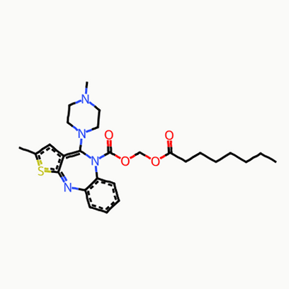 CCCCCCCC(=O)OCOC(=O)N1C(N2CCN(C)CC2)=c2cc(C)sc2=Nc2ccccc21